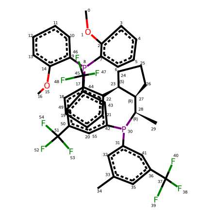 COc1ccccc1P(c1ccccc1OC)c1ccccc1[C@H]1CCC[C@H]1[C@@H](C)P(c1cc(C)cc(C(F)(F)F)c1)c1cc(C(F)(F)F)cc(C(F)(F)F)c1